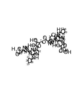 CCc1c(C(=O)OC[C@H]2O[C@@H](n3cnc4c(NC5CCCC5)nc(-n5cc(N(C)C=O)nn5)nc43)[C@H](O)[C@@H]2O)nnn1-c1nc(NC2CCCC2)c2ncn(C3O[C@H](CO)[C@@H](O)[C@H]3O)c2n1